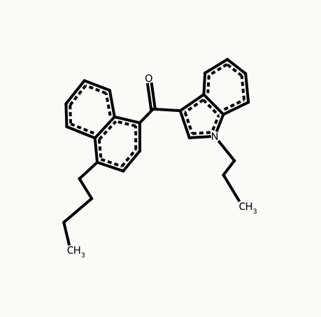 CCCCc1ccc(C(=O)c2cn(CCC)c3ccccc23)c2ccccc12